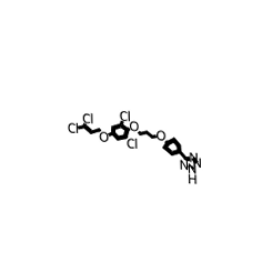 ClC(Cl)=CCOc1cc(Cl)c(OCCCOc2ccc(-c3nn[nH]n3)cc2)c(Cl)c1